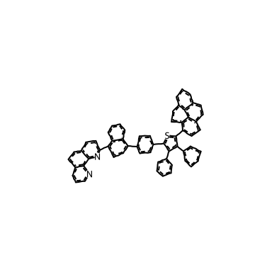 c1ccc(-c2c(-c3ccc(-c4ccc(-c5ccc6ccc7cccnc7c6n5)c5ccccc45)cc3)sc(-c3ccc4ccc5cccc6ccc3c4c56)c2-c2ccccc2)cc1